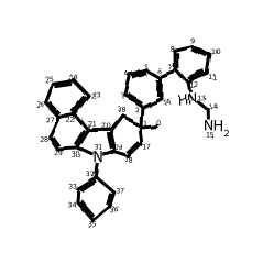 CC1(c2cccc(-c3ccccc3NCN)c2)C=Cc2c(c3c4ccccc4ccc3n2-c2ccccc2)C1